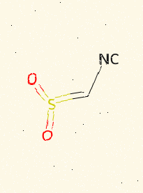 [C-]#[N+]C=S(=O)=O